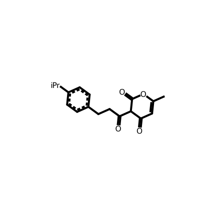 CC1=CC(=O)C(C(=O)CCc2ccc(C(C)C)cc2)C(=O)O1